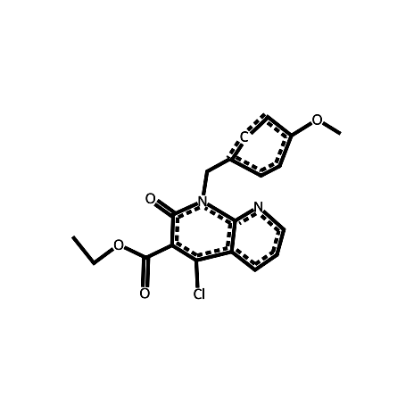 CCOC(=O)c1c(Cl)c2cccnc2n(Cc2ccc(OC)cc2)c1=O